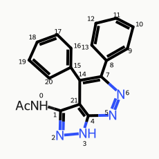 CC(=O)Nc1n[nH]c2nnc(-c3ccccc3)c(-c3ccccc3)c12